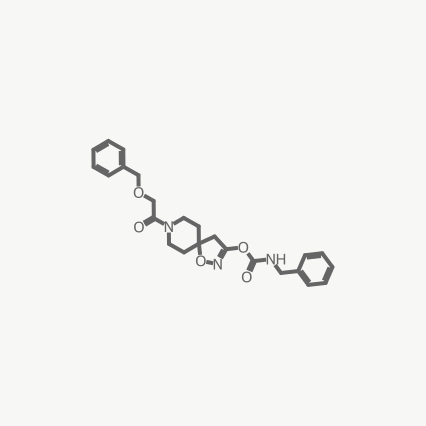 O=C(NCc1ccccc1)OC1=NOC2(CCN(C(=O)COCc3ccccc3)CC2)C1